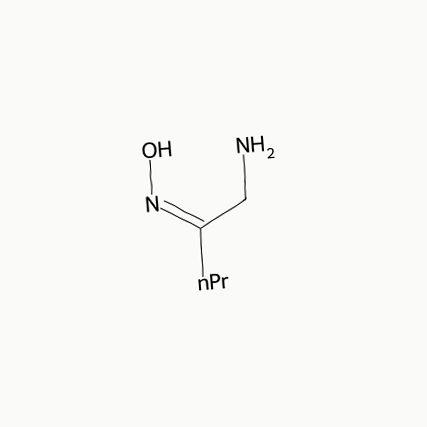 CCCC(CN)=NO